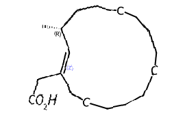 C[C@H]1/C=C(\CC(=O)O)CCCCCCCCCCCC1